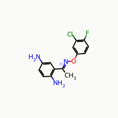 C/C(=N\Oc1ccc(F)c(Cl)c1)c1cc(N)ccc1N